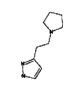 C1=CC(CCN2CCCC2)=N[N]1